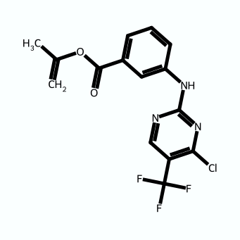 C=C(C)OC(=O)c1cccc(Nc2ncc(C(F)(F)F)c(Cl)n2)c1